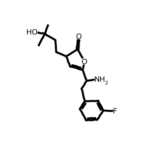 CC(C)(O)CCC1C=C(C(N)Cc2cccc(F)c2)OC1=O